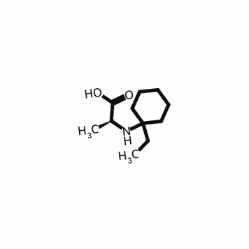 CCC1(N[C@@H](C)C(=O)O)CCCCC1